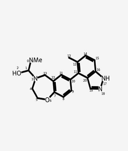 CNC(O)N1CCOc2ccc(-c3c(C)ccc4[nH]ncc34)cc2C1